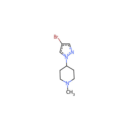 CN1CCC(n2cc(Br)cn2)CC1